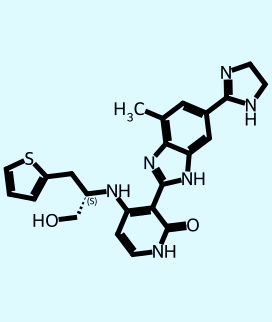 Cc1cc(C2=NCCN2)cc2[nH]c(-c3c(N[C@H](CO)Cc4cccs4)cc[nH]c3=O)nc12